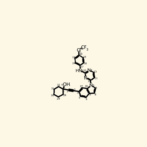 OC1(C#Cc2ccc3ccn(-c4ccnc(Nc5ccc(OC(F)(F)F)cc5)n4)c3c2)CCCCC1